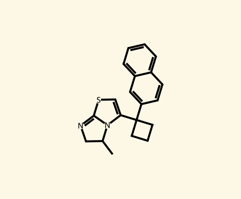 CC1CN=C2SC=C(C3(c4ccc5ccccc5c4)CCC3)N21